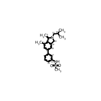 C=C1c2c(C)cc(-c3cccc(NS(C)(=O)=O)c3)cc2CN1CC(C)C